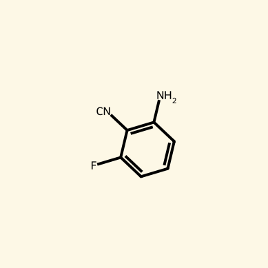 [C-]#[N+]c1c(N)cccc1F